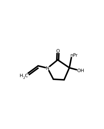 C=CN1CCC(O)(CCC)C1=O